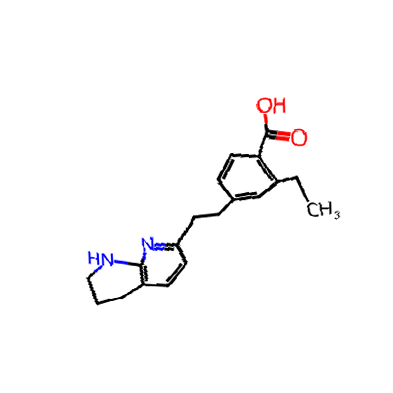 CCc1cc(CCc2ccc3c(n2)NCCC3)ccc1C(=O)O